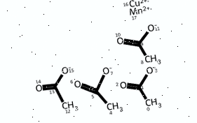 CC(=O)[O-].CC(=O)[O-].CC(=O)[O-].CC(=O)[O-].[Cu+2].[Mn+2]